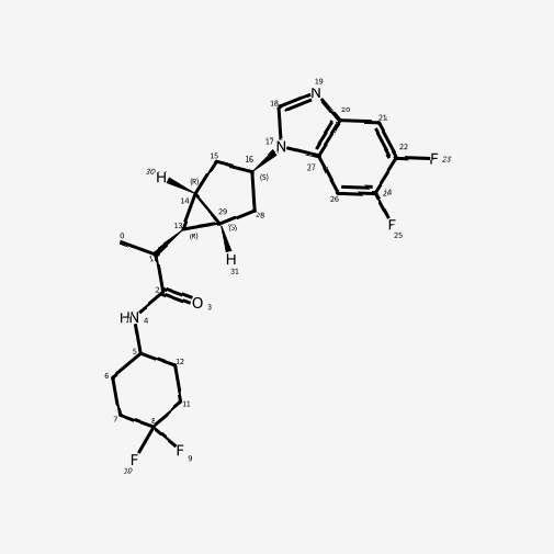 CC(C(=O)NC1CCC(F)(F)CC1)[C@H]1[C@@H]2C[C@@H](n3cnc4cc(F)c(F)cc43)C[C@@H]21